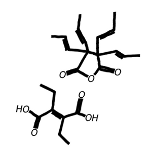 CC/C(C(=O)O)=C(/CC)C(=O)O.CC=CC1(C=CC)C(=O)OC(=O)C1(C=CC)C=CC